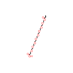 C=CC(=O)OCCOCCOCCOCCOCCOCCOCCOCCOCCC(=O)O